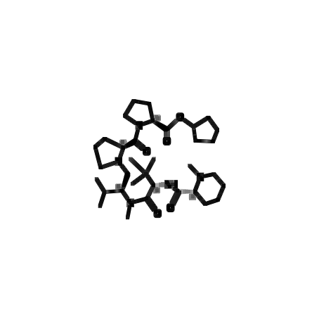 CC(C)[C@@H](CN1CCC[C@H]1C(=O)N1CCC[C@H]1C(=O)OC1CCCC1)N(C)C(=O)[C@@H](NC(=O)[C@H]1CCCCN1C)C(C)(C)C